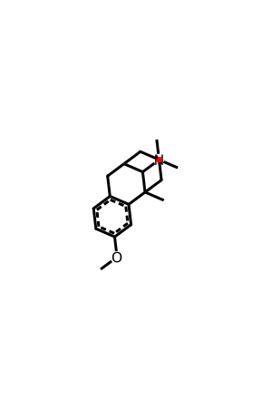 COc1ccc2c(c1)C1(C)CCCC(C2)C1N(C)C